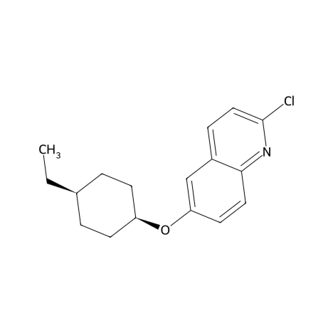 CC[C@H]1CC[C@@H](Oc2ccc3nc(Cl)ccc3c2)CC1